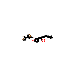 COCC(=Cc1cccc(OCc2cc(-c3ccsc3)cs2)c1)CC=CC#CC(C)(C)C